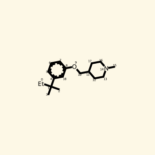 CCC(C)(C)c1cccc(OCC2CCN(C)CC2)c1